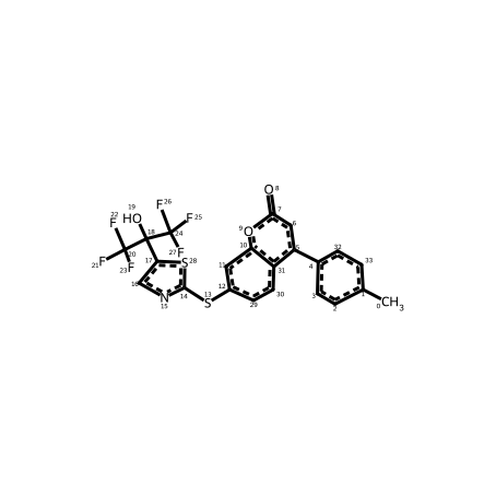 Cc1ccc(-c2cc(=O)oc3cc(Sc4ncc(C(O)(C(F)(F)F)C(F)(F)F)s4)ccc23)cc1